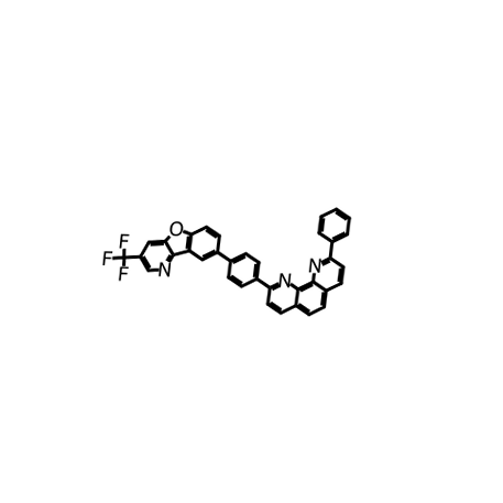 FC(F)(F)c1cnc2c(c1)oc1ccc(-c3ccc(-c4ccc5ccc6ccc(-c7ccccc7)nc6c5n4)cc3)cc12